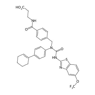 O=C(O)CCNC(=O)c1ccc(CN(C(=O)Nc2nc3cc(OC(F)(F)F)ccc3s2)c2ccc(C3=CCCCC3)cc2)cc1